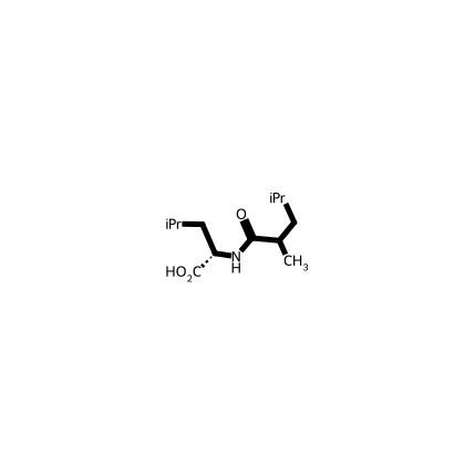 CC(C)CC(C)C(=O)N[C@@H](CC(C)C)C(=O)O